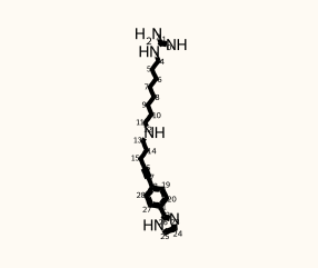 N=C(N)NCCCCCCCCNCCCC#Cc1ccc(-c2ncc[nH]2)cc1